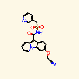 N#CCOc1ccc2c(C(=O)NS(=O)(=O)Cc3cccnc3)c3ccccn3c2c1